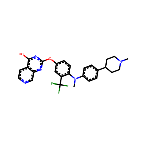 CN1CCC(c2ccc(N(C)c3ccc(Oc4nc(O)c5ccncc5n4)cc3C(F)(F)F)cc2)CC1